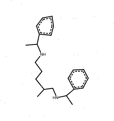 CC(CCCNC(C)c1ccccc1)CNC(C)c1ccccc1